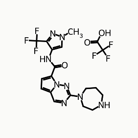 Cn1cc(NC(=O)c2ccc3cnc(N4CCCNCC4)nn23)c(C(F)(F)F)n1.O=C(O)C(F)(F)F